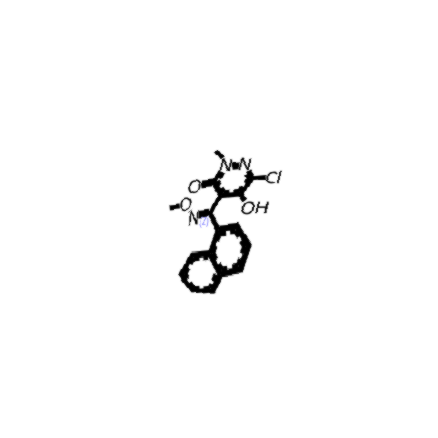 CO/N=C(\c1c(O)c(Cl)nn(C)c1=O)c1cccc2ccccc12